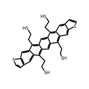 SCCc1c2cc3ccsc3cc2c(CCS)c2cc3c(CCS)c4cc5ccsc5cc4c(CCS)c3cc12